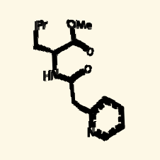 COC(=O)[C@H](CC(C)C)NC(=O)Cc1ccccn1